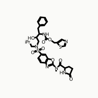 CC(C)CN(CC(O)C(Cc1ccccc1)NC(=O)OCc1cncs1)S(=O)(=O)c1ccc2nc(N(C)C(=O)C3CCC(=O)N3)oc2c1